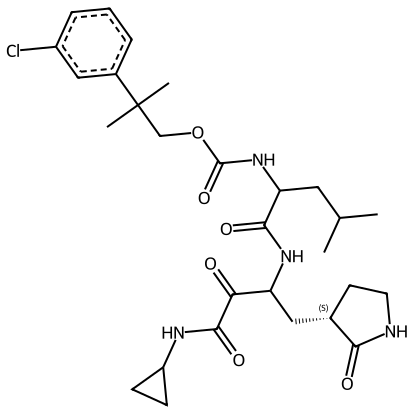 CC(C)CC(NC(=O)OCC(C)(C)c1cccc(Cl)c1)C(=O)NC(C[C@@H]1CCNC1=O)C(=O)C(=O)NC1CC1